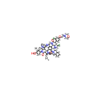 Cc1c(N(C(=O)c2cc(-c3cc4c(cc3C(=O)N3Cc5ccccc5C[C@H]3CN3CC[C@@H](F)C3)CN(C(=O)Cc3ccc(OCCN5CCOCC5)cc3F)CC4)n(C)c2C)c2ccc(O)cc2)cc(C#N)n1C